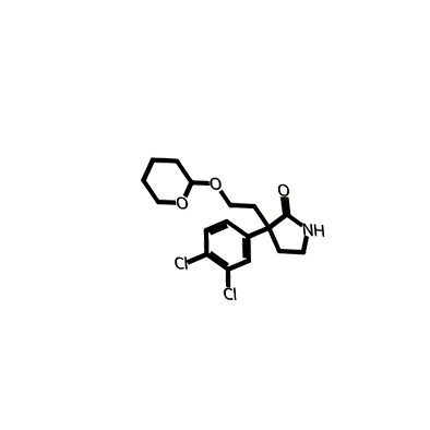 O=C1NCCC1(CCOC1CCCCO1)c1ccc(Cl)c(Cl)c1